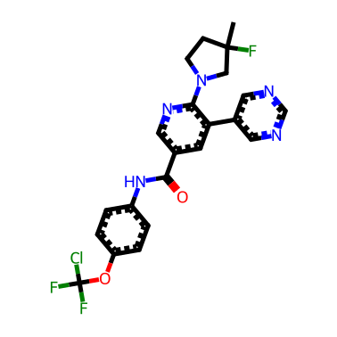 CC1(F)CCN(c2ncc(C(=O)Nc3ccc(OC(F)(F)Cl)cc3)cc2-c2cncnc2)C1